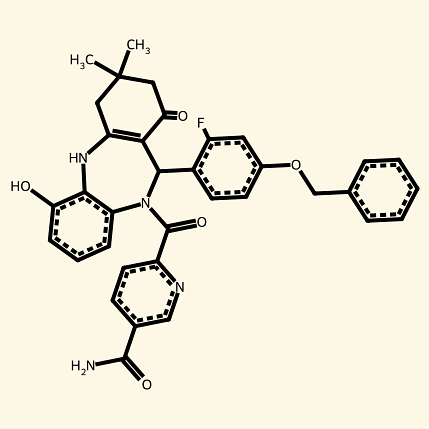 CC1(C)CC(=O)C2=C(C1)Nc1c(O)cccc1N(C(=O)c1ccc(C(N)=O)cn1)C2c1ccc(OCc2ccccc2)cc1F